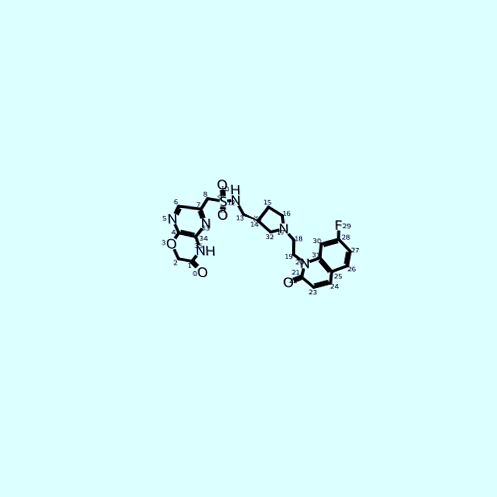 O=C1COc2ncc(CS(=O)(=O)NC[C@H]3CCN(CCn4c(=O)ccc5ccc(F)cc54)C3)nc2N1